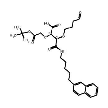 CC(C)(C)OC(=O)CO[C@@H](C(=O)O)[C@@H](OCCCC=O)C(=O)NCCCCCc1ccc2ccccc2c1